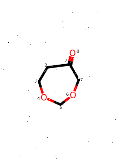 O=C1CCO[CH]OC1